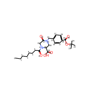 CCCCCCCC(=O)N1CC(=O)N(Cc2ccc(C(=O)OC(C)(C)C)cc2)CC1C(=O)O